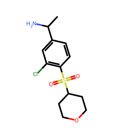 CC(N)c1ccc(S(=O)(=O)C2CCOCC2)c(Cl)c1